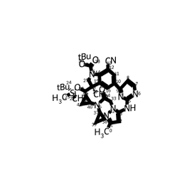 Cc1cc(Nc2nccc(-c3cc(C#N)c4c(c3)[C@@](C)(CO[Si](C)(C)C(C)(C)C)CN4C(=O)OC(C)(C)C)n2)n(CC(=O)N(C2CC2)C2CC2)n1